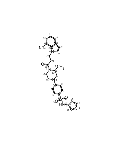 C[C@H]1CN(c2ccc(S(=O)(=O)Nc3ncns3)cc2)CCN1C(=O)CCn1ccc2cccc(Cl)c21